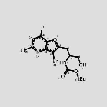 CC(C)(C)OC(=O)NC(CO)Cc1oc2c(I)cc(Cl)nc2c1Br